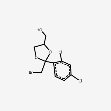 OCC1COC(CBr)(c2ccc(Cl)cc2Cl)O1